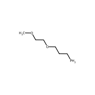 COCCOCCCP